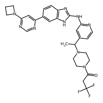 CC(c1ccnc(Nc2nc3ccc(-c4cc(N5CCC5)ncn4)cc3[nH]2)c1)N1CCN(C(=O)CC(F)(F)F)CC1